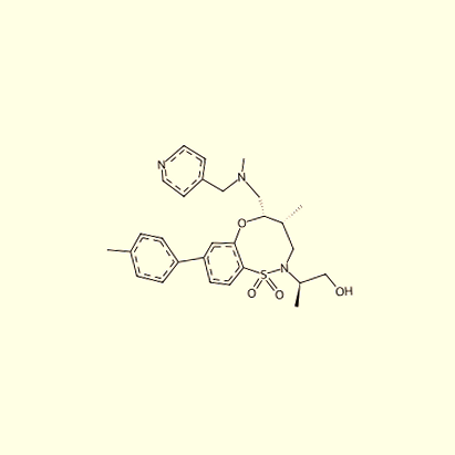 Cc1ccc(-c2ccc3c(c2)O[C@H](CN(C)Cc2ccncc2)[C@H](C)CN([C@H](C)CO)S3(=O)=O)cc1